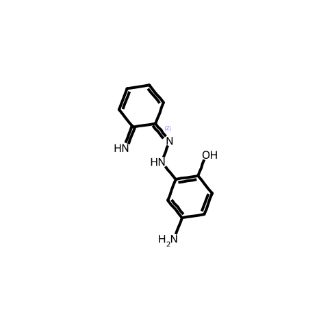 N=C1C=CC=C/C1=N/Nc1cc(N)ccc1O